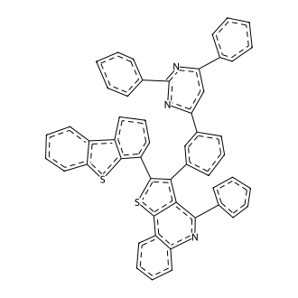 c1ccc(-c2cc(-c3cccc(-c4c(-c5cccc6c5sc5ccccc56)sc5c4c(-c4ccccc4)nc4ccccc45)c3)nc(-c3ccccc3)n2)cc1